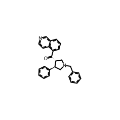 O=C(c1cccc2cnccc12)[C@@H]1CN(Cc2ccccc2)C[C@H]1c1ccccc1